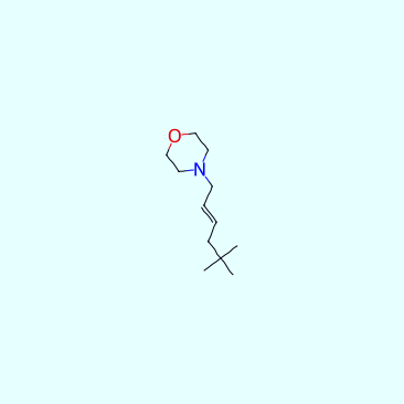 CC(C)(C)C/C=C/CN1CCOCC1